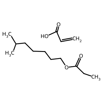 C=CC(=O)O.CCC(=O)OCCCCCC(C)C